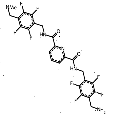 CNCc1c(F)c(F)c(CNC(=O)c2cccc(C(=O)NCc3c(F)c(F)c(CN)c(F)c3F)n2)c(F)c1F